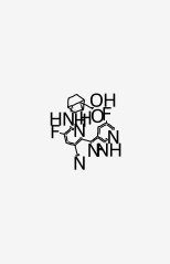 N#Cc1cc(F)c(N[C@H]2C3CCC(CC3)[C@@H]2C(=O)O)nc1-c1n[nH]c2ncc(F)cc12